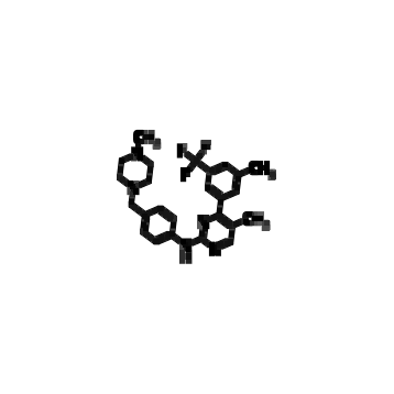 Cc1cc(-c2nc(Nc3ccc(CN4CCN(C)CC4)cc3)ncc2C)cc(C(F)(F)F)c1